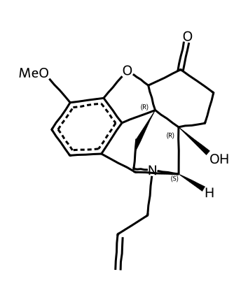 C=CCN1CC[C@@]23c4c5ccc(OC)c4OC2C(=O)CC[C@]3(O)[C@@H]1C5